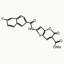 COC(=O)c1cc2sc(NC(=O)c3ccc4cc(F)ccc4c3)cc2oc1=O